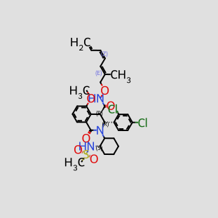 C=C/C=C\C=C(/C)CONC(=O)[C@@H]1c2c(OC)cccc2C(=O)N(C2CCCC[C@@H]2NS(C)(=O)=O)[C@H]1c1ccc(Cl)cc1Cl